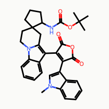 Cn1cc(C2=C(c3c4n(c5ccccc35)CCC3(CCCC3NC(=O)OC(C)(C)C)C4)C(=O)OC2=O)c2ccccc21